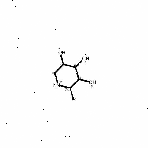 C[C@H]1NCC(O)C(O)C1O